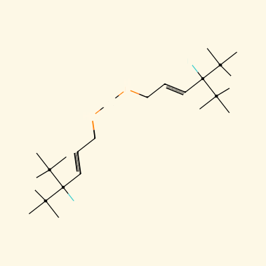 CC(C)(C)C(F)(C=CC[PH][Pd][PH]CC=CC(F)(C(C)(C)C)C(C)(C)C)C(C)(C)C